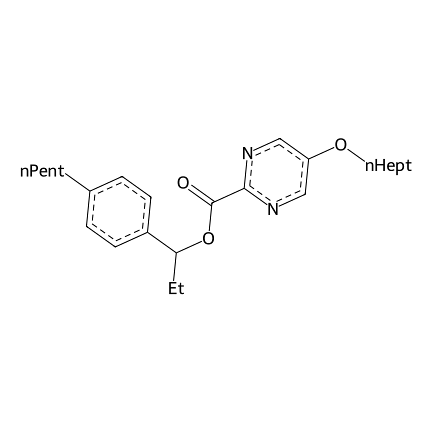 CCCCCCCOc1cnc(C(=O)OC(CC)c2ccc(CCCCC)cc2)nc1